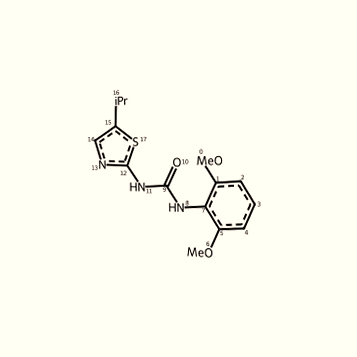 COc1cccc(OC)c1NC(=O)Nc1ncc(C(C)C)s1